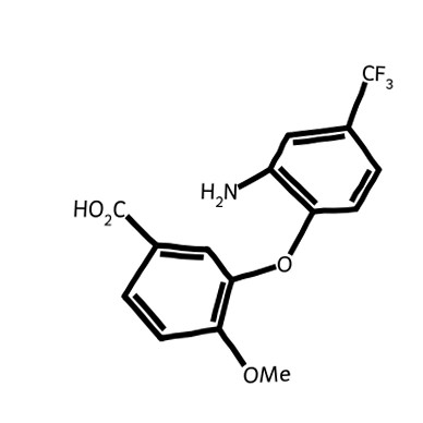 COc1ccc(C(=O)O)cc1Oc1ccc(C(F)(F)F)cc1N